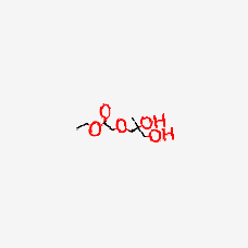 CCOC(=O)COCC(C)(O)CO